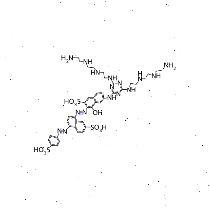 NCCNCCNCCNc1nc(NCCNCCNCCN)nc(Nc2ccc3cc(S(=O)(=O)O)c(/N=N/c4ccc(/N=N/c5ccc(S(=O)(=O)O)cc5)c5ccc(S(=O)(=O)O)cc45)c(O)c3c2)n1